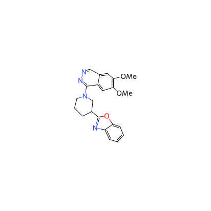 COc1cc2cnnc(N3CCCC(c4nc5ccccc5o4)C3)c2cc1OC